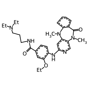 CCOc1cc(C(=O)NCCCN(CC)CC)ccc1Nc1cc2c(cn1)N(C)C(=O)c1ccccc1N2C